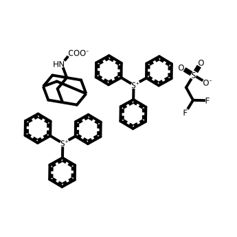 O=C([O-])NC12CC3CC(CC(C3)C1)C2.O=S(=O)([O-])CC(F)F.c1ccc([S+](c2ccccc2)c2ccccc2)cc1.c1ccc([S+](c2ccccc2)c2ccccc2)cc1